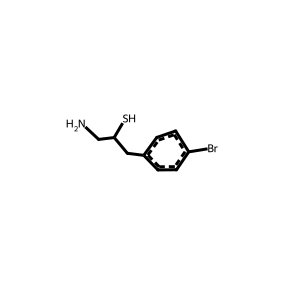 NCC(S)Cc1ccc(Br)cc1